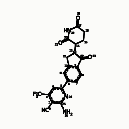 N#Cc1c(C(F)(F)F)cc(-c2ccc3c(c2)CN(C2CCC(=O)NC2=O)C3=O)nc1N